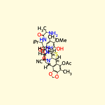 COc1c(C)cc2c(c1O)[C@@H]1C3[C@@H]4SC[C@H](NC(=O)C(NC(=O)C(C)N)C(C)C)C(=O)OC[C@@H](c5c6c(c(C)c(OC(C)=O)c54)OCO6)N3[C@@H](C#N)[C@H](C2)N1C